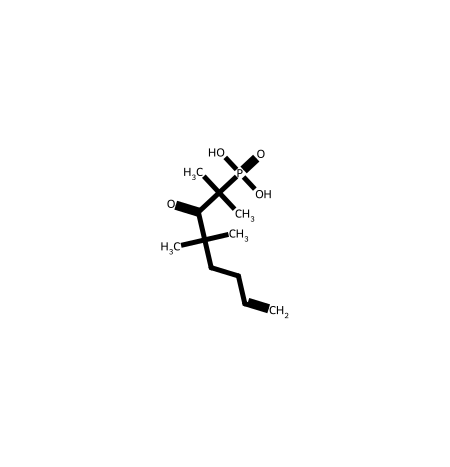 C=CCCC(C)(C)C(=O)C(C)(C)P(=O)(O)O